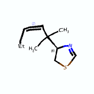 CC/C=C\C(C)(C)[C@@H]1CSC=N1